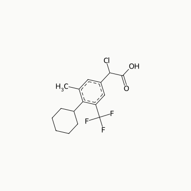 Cc1cc(C(Cl)C(=O)O)cc(C(F)(F)F)c1C1CCCCC1